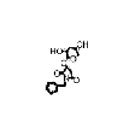 O=C1C[C@@H](O[C@@H]2OC[C@H](O)C[C@H]2O)C(=O)N1Cc1ccccc1